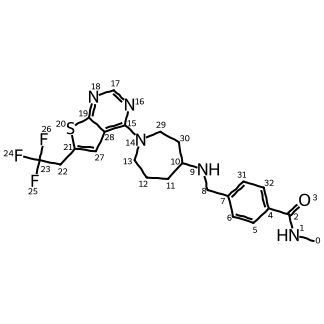 CNC(=O)c1ccc(CNC2CCCN(c3ncnc4sc(CC(F)(F)F)cc34)CC2)cc1